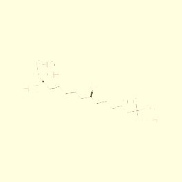 CC(C)(CCCCCC(=O)CCCCCC(C)(C)C(=O)O)OC=O